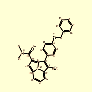 CCc1c(-c2ccc(OCc3ccccc3)cc2)c2c(C(=O)N(C)C)cc3cccc1n32